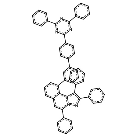 c1ccc(-c2nc(-c3ccccc3)nc(-c3ccc(-c4cccc(-c5cccc6cc(-c7ccccc7)n7nc(-c8ccccc8)c(-c8ccccc8)c7c56)c4)cc3)n2)cc1